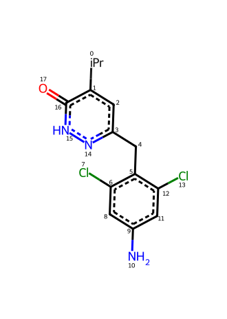 CC(C)c1cc(Cc2c(Cl)cc(N)cc2Cl)n[nH]c1=O